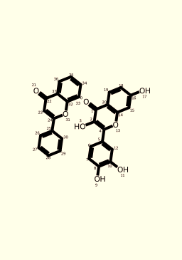 O=c1c(O)c(-c2ccc(O)c(O)c2)oc2cc(O)ccc12.O=c1cc(-c2ccccc2)oc2ccccc12